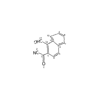 N#CC(=O)c1ccc2ccccc2c1C=O